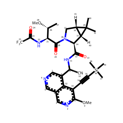 COc1ncc2cncc(C(C#N)NC(=O)[C@@H]3[C@@H]4[C@H](CN3C(=O)[C@@H](NC(=O)C(F)(F)F)[C@@H](C)OC)C4(C)C)c2c1C#C[Si](C)(C)C